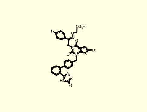 CCc1cc2c(=O)n(CC(=NOCC(=O)O)c3ccc(F)cc3)c(=O)n(Cc3ccc(-c4ccccc4-c4noc(=O)[nH]4)cc3)c2s1